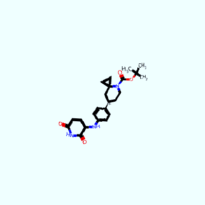 CC(C)(C)OC(=O)N1CC[C@@H](c2ccc(NC3CCC(=O)NC3=O)cc2)CC12CC2